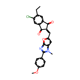 CCc1cc2c(cc1Cl)C(=O)/C(=C\c1cc3c(nc(-c4ccc(OC)cc4)n3C)o1)C2=O